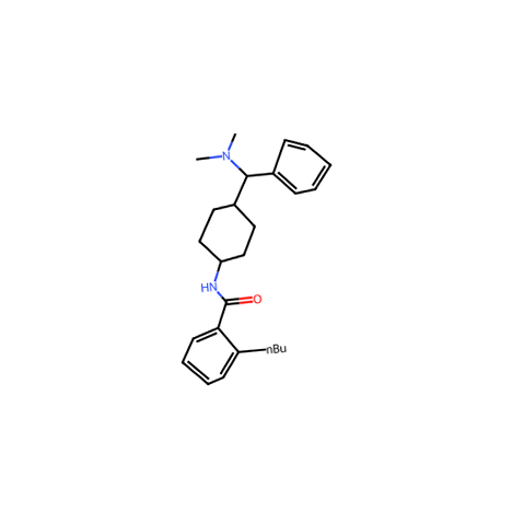 CCCCc1ccccc1C(=O)NC1CCC(C(c2ccccc2)N(C)C)CC1